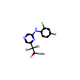 CCC(CC)(C(=O)OC)c1cncc(Nc2ccc(F)cc2F)n1